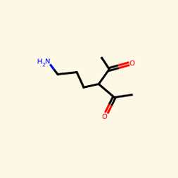 CC(=O)C(CCCN)C(C)=O